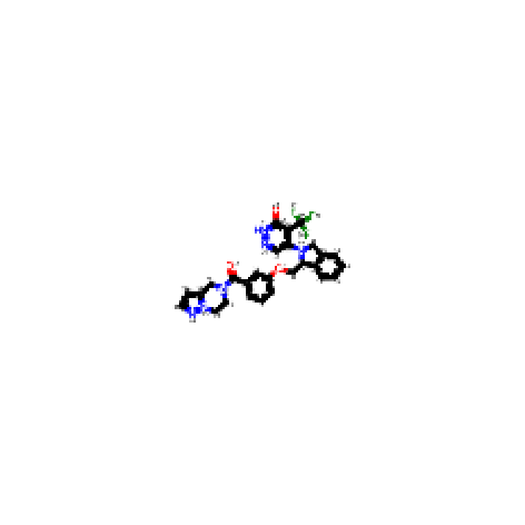 O=C(c1cccc(OCC2c3ccccc3CN2c2cn[nH]c(=O)c2C(F)(F)F)c1)N1CCn2nccc2C1